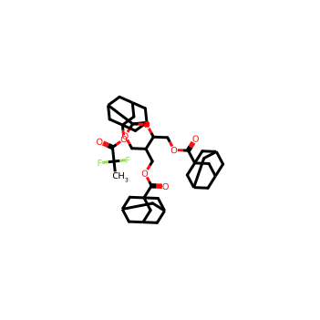 CC(F)(F)C(=O)OC12CC3CC(C1)C1(OCC(COC(=O)C45CC6CC(CC(C6)C4)C5)C(COC(=O)C45CC6CC(CC(C6)C4)C5)O1)C(C3)C2